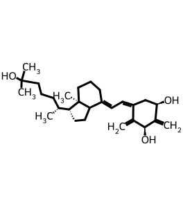 C=C1/C(=C\C=C2CCC[C@@]3(C)C2CC[C@@H]3[C@H](C)CCCC(C)(C)O)C[C@@H](O)C(=C)[C@H]1O